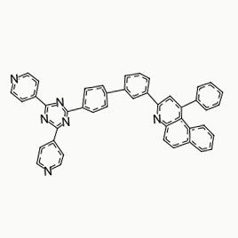 c1ccc(-c2cc(-c3cccc(-c4ccc(-c5nc(-c6ccncc6)nc(-c6ccncc6)n5)cc4)c3)nc3ccc4ccccc4c23)cc1